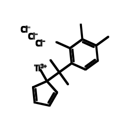 Cc1ccc(C(C)(C)[C]2([Ti+3])C=CC=C2)c(C)c1C.[Cl-].[Cl-].[Cl-]